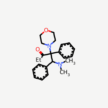 CCC(=O)C(c1ccccc1)(C(c1ccccc1)N(C)C)N1CCOCC1